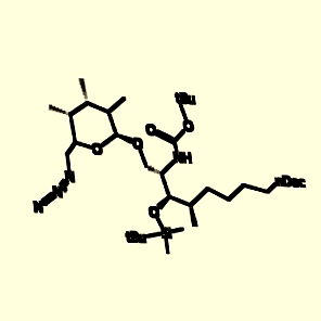 CCCCCCCCCCCCCC[C@@H](C)[C@@H](O[Si](C)(C)C(C)(C)C)[C@H](CO[C@H]1OC(CN=[N+]=[N-])[C@H](C)[C@H](C)C1C)NC(=O)OC(C)(C)C